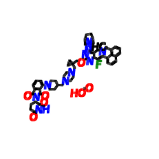 C#Cc1cccc2cccc(-c3ncc4c(N5CC6CCC(C5)N6)nc(OCC5(CN6CCN(CC7CCN(c8cccc9c8C(=O)N(C8CCC(=O)NC8=O)C9=O)CC7)CC6)CC5)nc4c3F)c12.O=CO